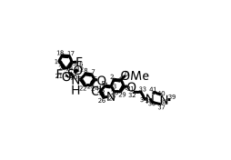 COc1cc2c(Oc3ccc(NS(=O)(=O)c4c(F)cccc4F)cc3Cl)ccnc2cc1OCCCN1CCN(C)CC1